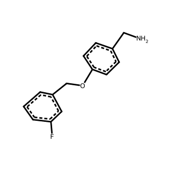 NCc1ccc(OCc2cccc(F)c2)cc1